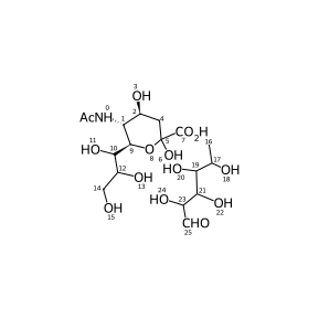 CC(=O)N[C@@H]1[C@@H](O)CC(O)(C(=O)O)O[C@H]1C(O)C(O)CO.CC(O)C(O)C(O)C(O)C=O